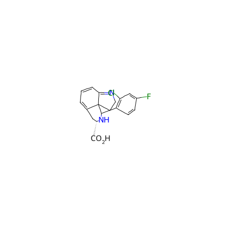 O=C(O)[C@@H]1CC2=CC=CC3=NCCC23C(c2ccc(F)cc2Cl)N1